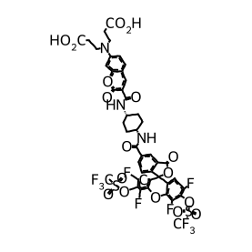 O=C(O)CCN(CCC(=O)O)c1ccc2cc(C(=O)N[C@H]3CC[C@H](NC(=O)c4ccc5c(c4)C(=O)OC54c5cc(F)c(OS(=O)(=O)C(F)(F)F)c(F)c5Oc5c4cc(F)c(OS(=O)(=O)C(F)(F)F)c5F)CC3)c(=O)oc2c1